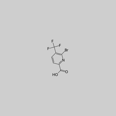 O=C(O)c1ccc(C(F)(F)F)c(Br)n1